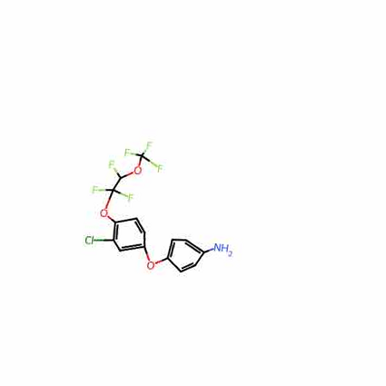 Nc1ccc(Oc2ccc(OC(F)(F)C(F)OC(F)(F)F)c(Cl)c2)cc1